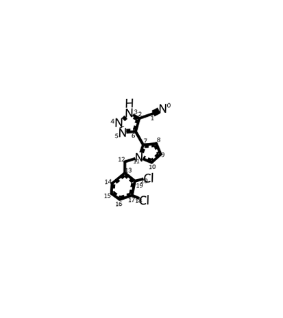 N#Cc1[nH]nnc1-c1cccn1Cc1cccc(Cl)c1Cl